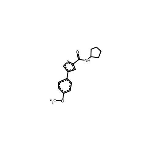 O=C(NC1CCCC1)c1cc(-c2ccc(OC(F)(F)F)cc2)cs1